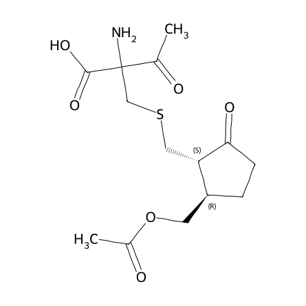 CC(=O)OC[C@@H]1CCC(=O)[C@H]1CSCC(N)(C(C)=O)C(=O)O